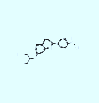 CCC(CO)Oc1ccc2ccc(-c3ccc(NC)cc3)nc2c1